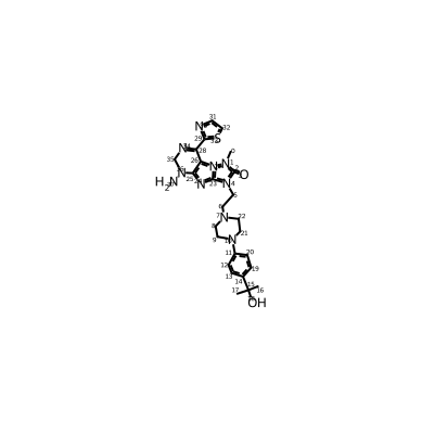 Cn1c(=O)n(CCN2CCN(c3ccc(C(C)(C)O)cc3)CC2)c2nc3c(n21)C(c1nccs1)=NCN3N